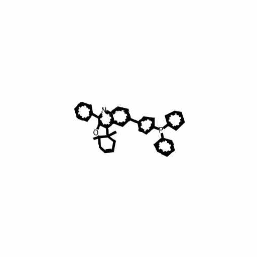 CC12CC=CCC1(C)c1c(c(-c3ccccc3)nc3ccc(-c4ccc(P(c5ccccc5)c5ccccc5)cc4)cc13)O2